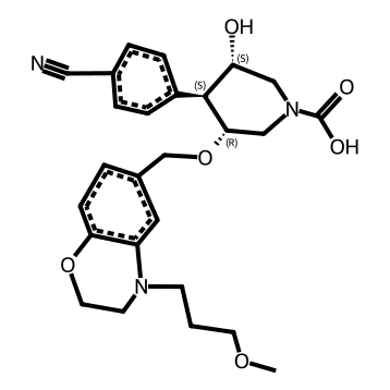 COCCCN1CCOc2ccc(CO[C@H]3CN(C(=O)O)C[C@@H](O)[C@@H]3c3ccc(C#N)cc3)cc21